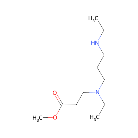 CCNCCCN(CC)CCC(=O)OC